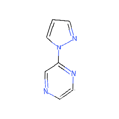 [c]1cncc(-n2cccn2)n1